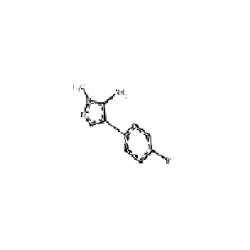 Cn1ncc(-c2ccc(Br)cc2)c1N